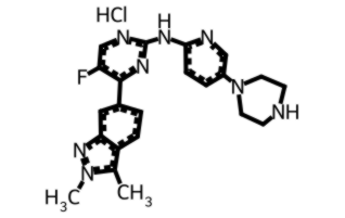 Cc1c2ccc(-c3nc(Nc4ccc(N5CCNCC5)cn4)ncc3F)cc2nn1C.Cl